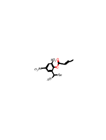 C/C=C/C(=O)Oc1c(C(CCC)CCCC)cc([N+](=O)[O-])cc1[N+](=O)[O-]